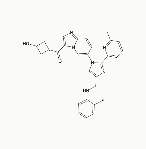 Cc1cccc(-c2nc(CNc3ccccc3F)cn2-c2ccc3ncc(C(=O)N4CC(O)C4)n3c2)n1